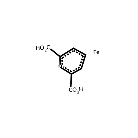 O=C(O)c1cccc(C(=O)O)n1.[Fe]